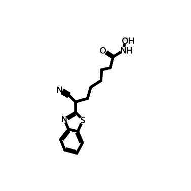 N#CC(CCCCCC(=O)NO)c1nc2ccccc2s1